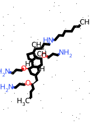 CCCCCCCCNCCC[C@@H](C)C1CC[C@H]2C3[C@@H](CC(C[C@@H](CCCC)OCCCN)C[C@H]3OCCCN)C[C@H](OCCCN)C12C